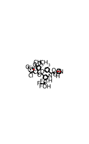 COc1ccc([C@H](Cc2c(Cl)c[n+]([O-])cc2Cl)OC(=O)c2cccc(N[C@@H](C(=O)O[C@H]3CN4CCC3CC4)c3ccccc3)c2)cc1OC.O=C(O)C(F)(F)F